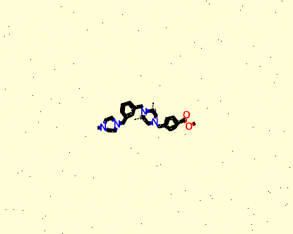 COC(=O)c1ccc(CN2C[C@@H](C)N(Cc3cccc(CN4CCN(C)CC4)c3)[C@@H](C)C2)cc1